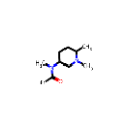 CC(C)C(=O)N(C)C1CCC(C)N(C)C1